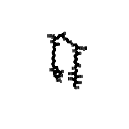 Nc1nc2[nH]c(CCCCCCCC(=O)NC(CCC(=O)OCCSSCC(NC(=O)CCCC(=O)NCC(O)C(O)C(O)C(O)CO)C(=O)O)C(=O)O)cc2c(=O)[nH]1